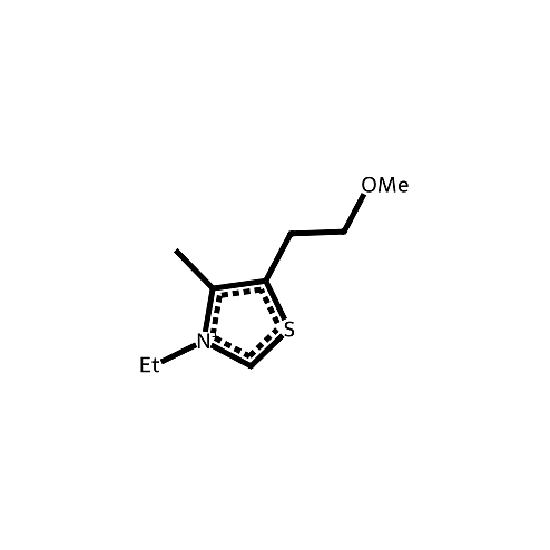 CC[n+]1csc(CCOC)c1C